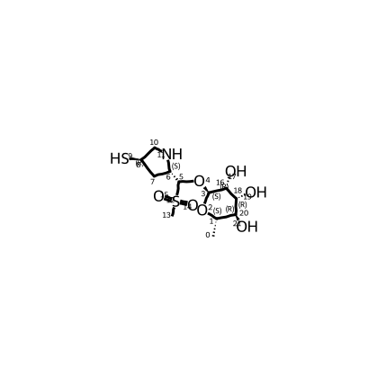 C[C@@H]1O[C@@H](OC([C@@H]2C[C@@H](S)CN2)S(C)(=O)=O)[C@H](O)[C@H](O)[C@H]1O